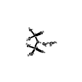 O=P([O-])([O-])OP(=O)([O-])[O-].[Co+2].[Co+2]